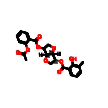 CC(=O)Oc1ccccc1C(=O)OC1CO[C@H]2[C@@H]1OC[C@H]2OC(=O)c1cccc(C)c1O